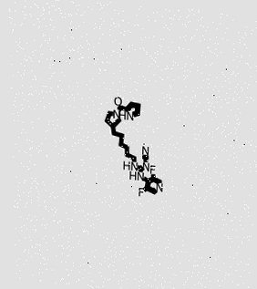 N#CN=C(NCCCCCCC1CCN(C(=O)c2ccc[nH]2)C1)Nc1c(F)cncc1F